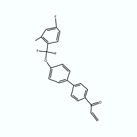 C=CC(=O)c1ccc(-c2ccc(OC(F)(F)c3ccc(F)cc3C)cc2)cc1